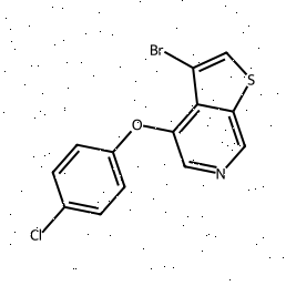 Clc1ccc(Oc2cncc3scc(Br)c23)cc1